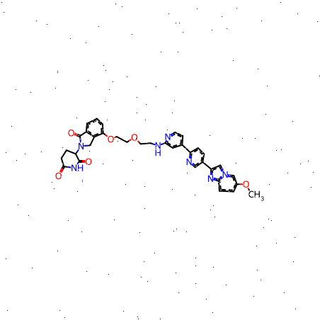 COc1ccc2nc(-c3ccc(-c4ccnc(NCCOCCOc5cccc6c5CN(C5CCC(=O)NC5=O)C6=O)c4)nc3)cn2c1